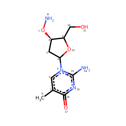 Cc1cn(C2C[C@@H](ON)C(CO)O2)c(N)nc1=O